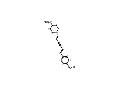 CCCCCCC[C@H]1CC[C@H](/C=C/C#C/C=C/c2ccc(CCCCC)cc2)CC1